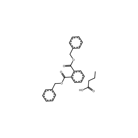 CCCC(=O)O.O=C(OCc1ccccc1)c1ccccc1C(=O)OCc1ccccc1